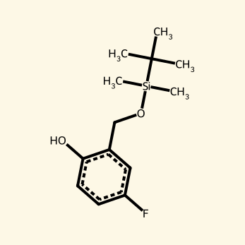 CC(C)(C)[Si](C)(C)OCc1cc(F)ccc1O